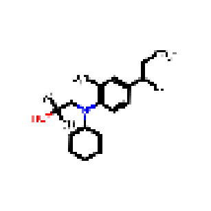 CCC(CC(=O)O)c1ccc(N(CC(C)(C)O)C2CCCCC2)c([N+](=O)[O-])c1